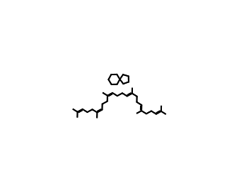 C1CCC2(CC1)CCCC2.CC(C)=CCCC(C)=CCCC(C)=CCCC=C(C)CCC=C(C)CCC=C(C)C